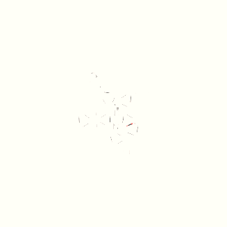 Cc1cc2c3c(c1)N(c1ccc(C(C)(C)C)cc1-c1ccccc1)c1cc4c(cc1B3n1c3ccc(C56CC7CC(CC(C7)C5)C6)cc3c3cc(C56CC(C)CC(CC(C)C5)C6)cc-2c31)Oc1ccccc1O4